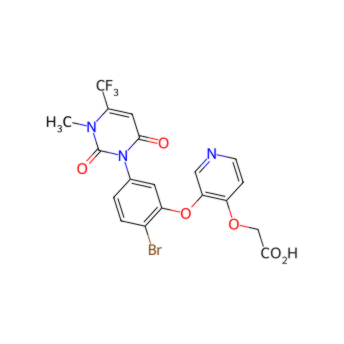 Cn1c(C(F)(F)F)cc(=O)n(-c2ccc(Br)c(Oc3cnccc3OCC(=O)O)c2)c1=O